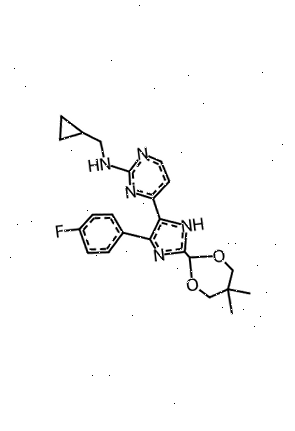 CC1(C)COC(c2nc(-c3ccc(F)cc3)c(-c3ccnc(NCC4CC4)n3)[nH]2)OC1